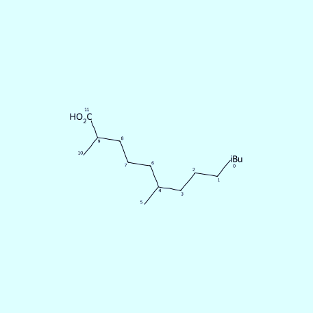 CCC(C)CCCC(C)CCCC(C)C(=O)O